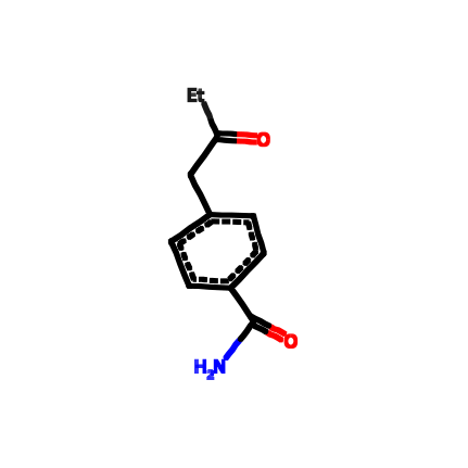 CCC(=O)Cc1ccc(C(N)=O)cc1